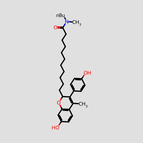 CCCCN(C)C(=O)CCCCCCCCCCC1Oc2cc(O)ccc2C(C)=C1c1ccc(O)cc1